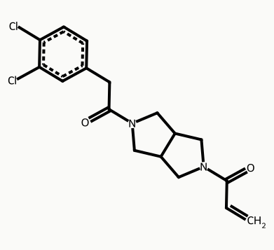 C=CC(=O)N1CC2CN(C(=O)Cc3ccc(Cl)c(Cl)c3)CC2C1